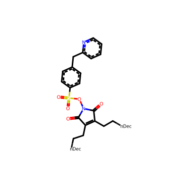 CCCCCCCCCCCCC1=C(CCCCCCCCCCCC)C(=O)N(OS(=O)(=O)c2ccc(Cc3ccccn3)cc2)C1=O